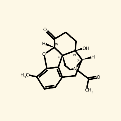 CC(=O)N1CC[C@@]23c4c5ccc(C)c4O[C@@H]2C(=O)CC[C@]3(O)[C@@H]1C5